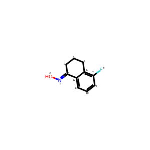 ON=C1CCCc2c(F)cccc21